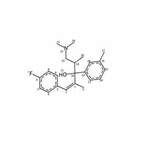 CC(=Cc1ccc(F)cc1)C(O)(c1cccc(C)c1)C(C)CN(C)C